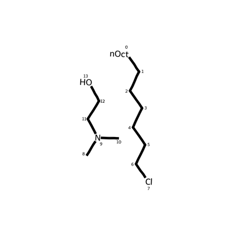 CCCCCCCCCCCCCCCl.CN(C)CCO